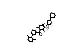 Cc1cc(C)c(N(C)c2ccc(-c3ccccc3)cc2)c(C)c1C(=O)c1cccc(-c2c(C)cccc2C)c1